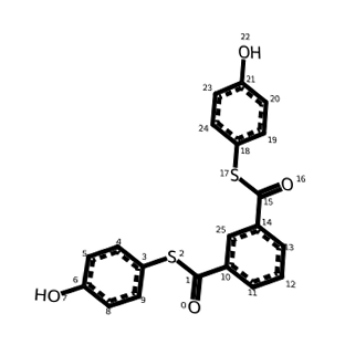 O=C(Sc1ccc(O)cc1)c1cccc(C(=O)Sc2ccc(O)cc2)c1